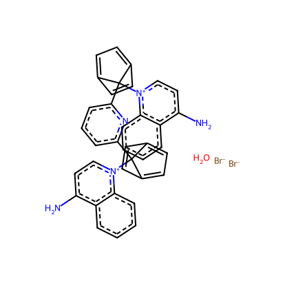 Nc1cc[n+](C2(c3cccc(C4([n+]5ccc(N)c6ccccc65)C5=CC=C4C=C5)n3)C3=CC=C2C=C3)c2ccccc12.O.[Br-].[Br-]